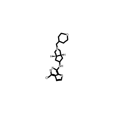 Clc1nnc(NC2C[C@@H]3CN(CC4CCOCC4)C[C@@H]3C2)c2sccc12